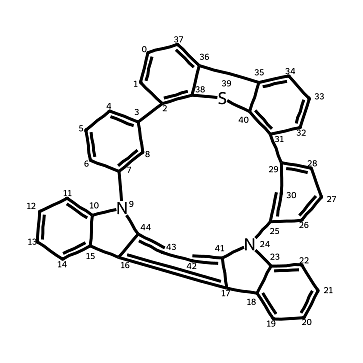 c1cc2c3cccc(c3)n3c4ccccc4c4c5c6ccccc6n(c6cccc(c6)c6cccc7c(c1)c2sc67)c5ccc43